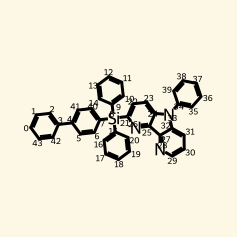 c1ccc(-c2ccc([Si](c3ccccc3)(c3ccccc3)c3ccc4c(n3)c3ncccc3n4-c3ccccc3)cc2)cc1